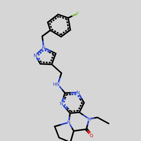 CCN1C(=O)C2CCCN2c2nc(NCc3cnn(Cc4ccc(F)cc4)c3)ncc21